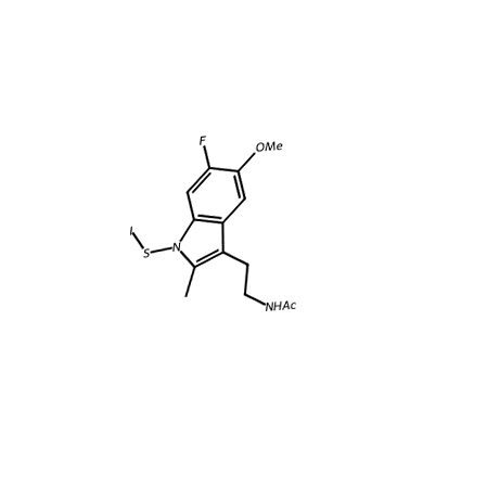 COc1cc2c(CCNC(C)=O)c(C)n(SI)c2cc1F